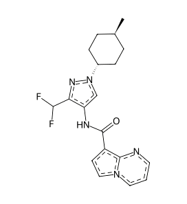 C[C@H]1CC[C@H](n2cc(NC(=O)c3ccn4cccnc34)c(C(F)F)n2)CC1